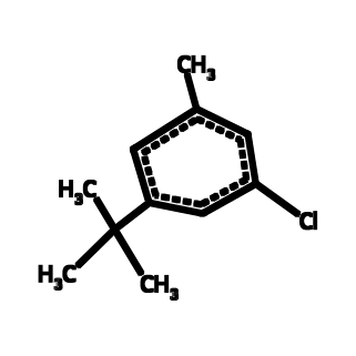 Cc1cc(Cl)cc(C(C)(C)C)c1